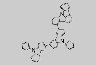 c1ccc(-n2c3ccccc3c3cc(-c4ccc5c(c4)c4cc(-c6cccc7c6c6cccc8c9ccccc9n7c86)ccc4n5-c4ccccc4)ccc32)cc1